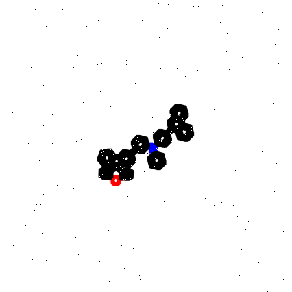 c1ccc(N(c2ccc(-c3cc4ccccc4c4ccccc34)cc2)c2cccc(-c3ccc4c(c3)-c3ccccc3C43c4ccccc4Oc4ccccc43)c2)cc1